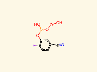 N#Cc1ccc(I)c(OP(O)OOO)c1